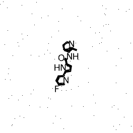 CC1C(NC(=O)c2ccc(-c3ccc(F)cn3)[nH]2)C2CCN1CC2